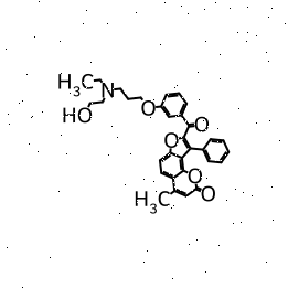 CCN(CCO)CCCOc1cccc(C(=O)c2oc3ccc4c(C)cc(=O)oc4c3c2-c2ccccc2)c1